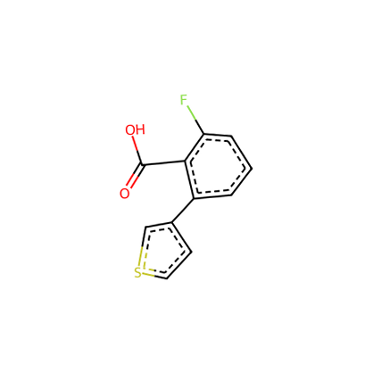 O=C(O)c1c(F)cccc1-c1ccsc1